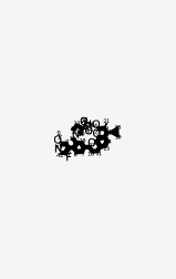 COc1cc(-c2ccc(C3CCc4ccc([C@H](C5CC5)[C@H](C)C(=O)O)cc4O3)cc2CN2CC[C@@H](S(C)(=O)=O)C2)c(F)cn1